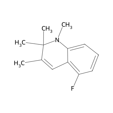 CC1=Cc2c(F)cccc2N(C)C1(C)C